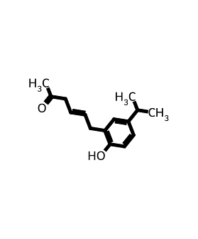 CC(=O)C/C=C/Cc1cc(C(C)C)ccc1O